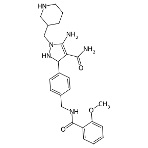 COc1ccccc1C(=O)NCc1ccc(C2NN(CC3CCCNC3)C(N)=C2C(N)=O)cc1